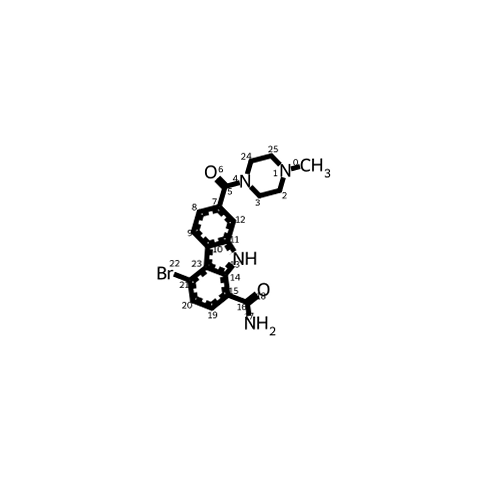 CN1CCN(C(=O)c2ccc3c(c2)[nH]c2c(C(N)=O)ccc(Br)c23)CC1